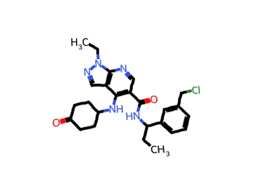 CCC(NC(=O)c1cnc2c(cnn2CC)c1NC1CCC(=O)CC1)c1cccc(CCl)c1